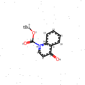 CC(C)(C)OC(=O)n1ccc(=O)c2ccccc21